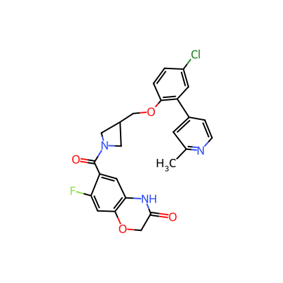 Cc1cc(-c2cc(Cl)ccc2OCC2CN(C(=O)c3cc4c(cc3F)OCC(=O)N4)C2)ccn1